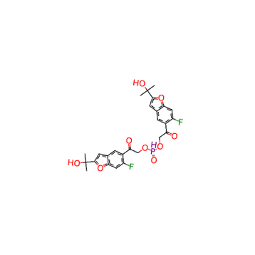 CC(C)(O)c1cc2cc(C(=O)CO[PH](=O)OCC(=O)c3cc4cc(C(C)(C)O)oc4cc3F)c(F)cc2o1